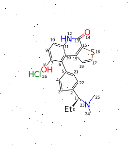 CC[C@@H](c1ccc(-c2c(O)ccc3[nH]c(=O)c4sccc4c23)cc1)N(C)C.Cl